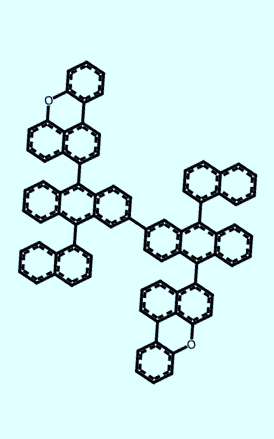 c1ccc2c(c1)Oc1ccc(-c3c4ccccc4c(-c4cccc5ccccc45)c4cc(-c5ccc6c(-c7ccc8c9c(cccc79)Oc7ccccc7-8)c7ccccc7c(-c7cccc8ccccc78)c6c5)ccc34)c3cccc-2c13